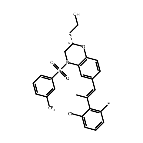 CC(=Cc1ccc2c(c1)N(S(=O)(=O)c1cccc(C(F)(F)F)c1)C[C@H](CCO)O2)c1c(F)cccc1Cl